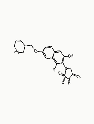 O=C1CN(c2c(O)cc3ccc(OCC4CCCNC4)cc3c2F)S(=O)(=O)N1